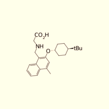 Cc1cc(O[C@H]2CC[C@H](C(C)(C)C)CC2)c(CNCC(=O)O)c2ccccc12